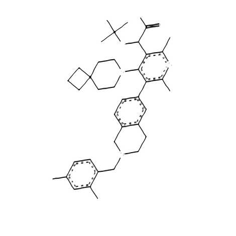 Cc1cc(F)ccc1CN1CCc2cc(-c3c(C)nc(C)c(C(OC(C)(C)C)C(=O)O)c3N3CCC4(CCC4)CC3)ccc2C1